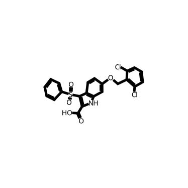 O=C(O)c1[nH]c2cc(OCc3c(Cl)cccc3Cl)ccc2c1S(=O)(=O)c1ccccc1